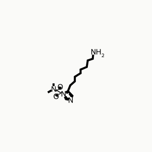 CN(C)S(=O)(=O)n1cncc1CCCCCCCCN